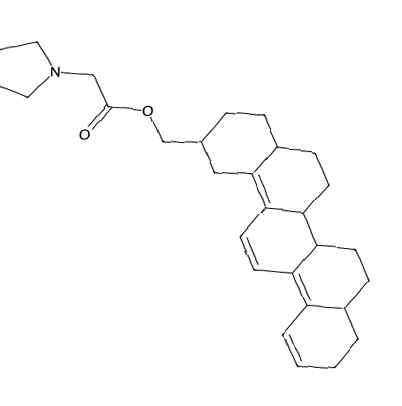 O=C(CN1CCCC1)OCC1CCC2CCC3C(=C2C1)C=CC1=C2C=CCCC2CCC13